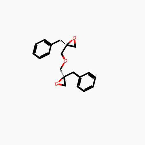 c1ccc(C[C@@]2(COC[C@]3(Cc4ccccc4)CO3)CO2)cc1